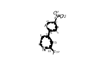 O=[N+]([O-])c1ccc(-c2ccnc(F)c2)nc1